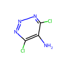 Nc1c(Cl)nnnc1Cl